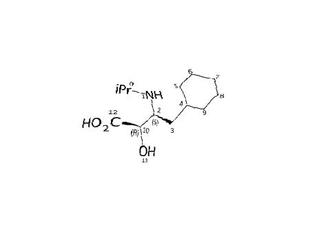 CC(C)N[C@@H](CC1CCCCC1)[C@@H](O)C(=O)O